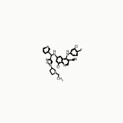 CCN1CCC(n2cc(C(Nc3cc(Cl)c4ncc(C#N)c(Nc5ccc(F)c(Cl)c5)c4c3)c3cccnc3)nn2)C1